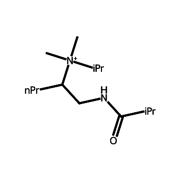 CCCC(CNC(=O)C(C)C)[N+](C)(C)C(C)C